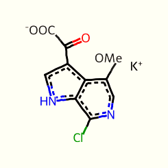 COc1cnc(Cl)c2[nH]cc(C(=O)C(=O)[O-])c12.[K+]